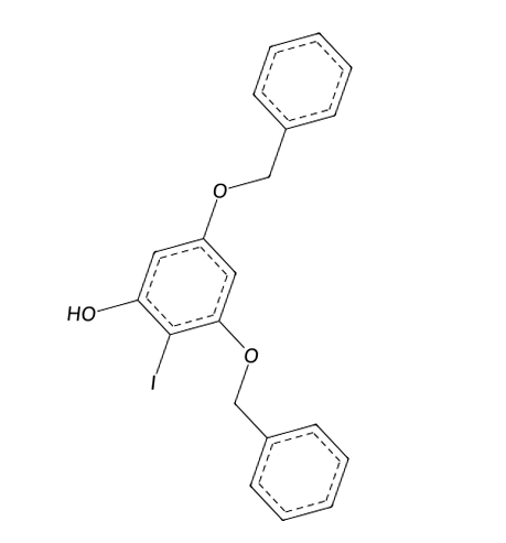 Oc1cc(OCc2ccccc2)cc(OCc2ccccc2)c1I